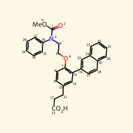 COC(=O)N(CCOc1ccc(CCC(=O)O)cc1-c1ccc2ccccc2c1)c1ccccc1